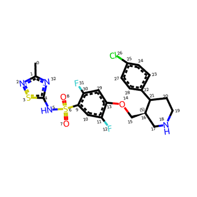 Cc1nsc(NS(=O)(=O)c2cc(F)c(OC[C@@H]3CNCCC3c3ccc(Cl)cc3)cc2F)n1